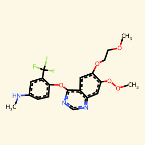 CNc1ccc(Oc2ncnc3cc(OOC)c(OCCOC)cc23)c(C(F)(F)F)c1